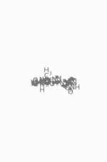 Cc1cc(Oc2cc(N3CCC4(CC3)OC(=O)Nc3ncccc34)ncn2)cc2[nH]c([C@H]3CCCO3)nc12